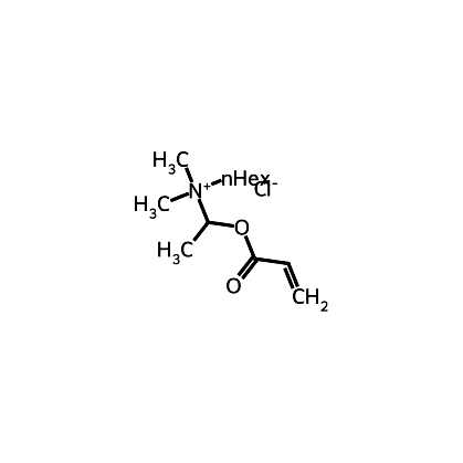 C=CC(=O)OC(C)[N+](C)(C)CCCCCC.[Cl-]